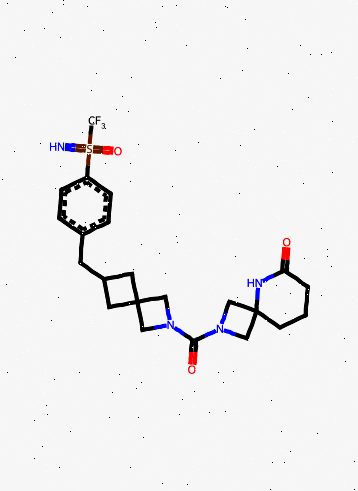 N=S(=O)(c1ccc(CC2CC3(C2)CN(C(=O)N2CC4(CCCC(=O)N4)C2)C3)cc1)C(F)(F)F